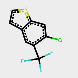 FC(F)(F)c1cc2c[c]sc2cc1Cl